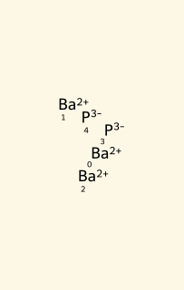 [Ba+2].[Ba+2].[Ba+2].[P-3].[P-3]